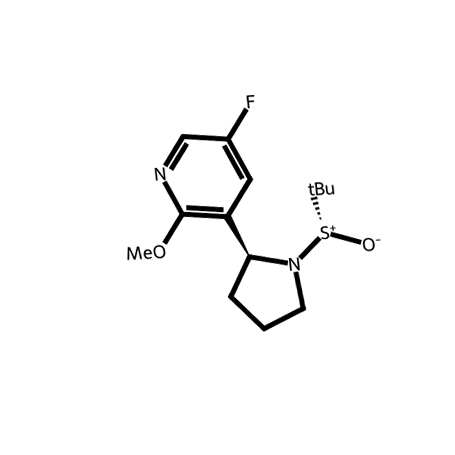 COc1ncc(F)cc1[C@@H]1CCCN1[S@@+]([O-])C(C)(C)C